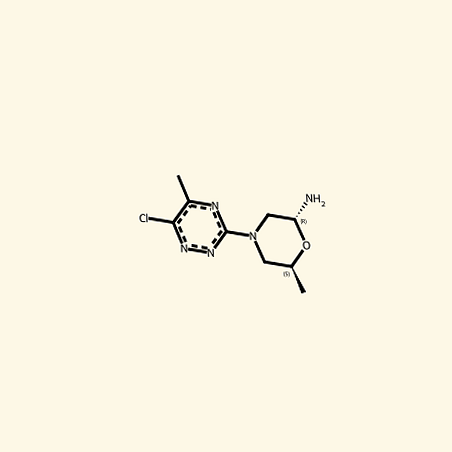 Cc1nc(N2C[C@H](C)O[C@@H](N)C2)nnc1Cl